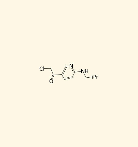 CC(C)CNc1ccc(C(=O)CCl)cn1